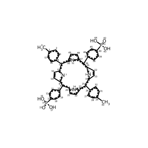 Cc1ccc(-c2c3nc(c(-c4ccc(P(=O)(O)O)cc4)c4ccc([nH]4)c(-c4ccc(C)cc4)c4nc(c(-c5ccc(P(=O)(O)O)cc5)c5ccc2[nH]5)C=C4)C=C3)cc1